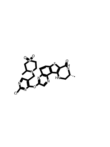 CC1CS(=O)(=O)CCN1Cc1cnc(Cl)nc1Oc1cnc2c(ccc3sc4c(c32)NC[C@@H](C)NC4=O)n1